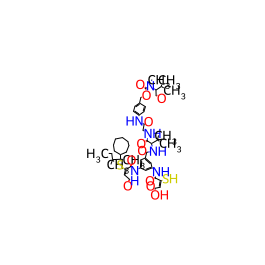 CCC(C)C(C)(S/C(=C/C=O)C(=O)Nc1cc(NC(=O)/C(S)=C\C(=O)O)cc(C(=O)NC(C(=O)NCC(=O)Nc2ccc(COC(=O)N(C)C(C=O)C(C)C)cc2)C(C)C)c1)C1CCCCCCC1